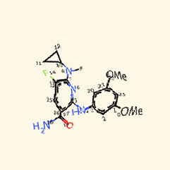 COc1cc(Nc2nc(N(C)C3CC3)c(F)cc2C(N)=O)cc(OC)c1